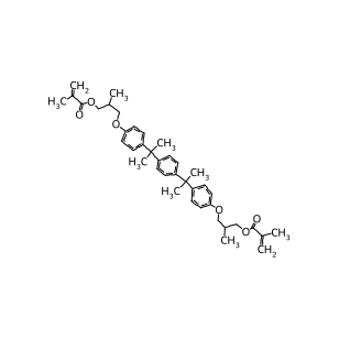 C=C(C)C(=O)OCC(C)COc1ccc(C(C)(C)c2ccc(C(C)(C)c3ccc(OCC(C)COC(=O)C(=C)C)cc3)cc2)cc1